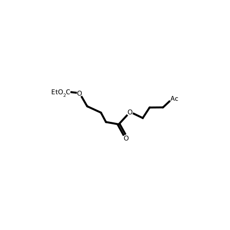 CCOC(=O)OCCCC(=O)OCCCC(C)=O